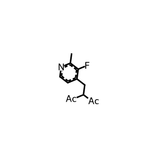 CC(=O)C(Cc1ccnc(C)c1F)C(C)=O